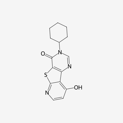 O=c1c2sc3nccc(O)c3c2ncn1C1CCCCC1